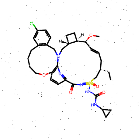 CC[C@H]1C/C=C/[C@H](OC)[C@@H]2CC[C@H]2CN2Cc3ccc(Cl)cc3CCCCOc3ccc(nc32)C(=O)N=S(=O)(NC(=O)NC2CC2)C1